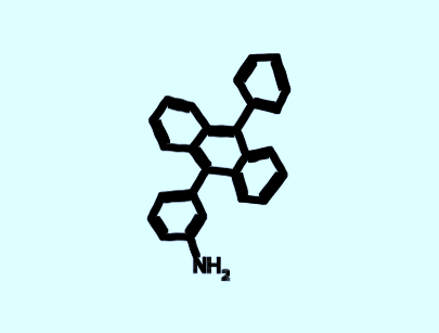 Nc1cccc(-c2c3ccccc3c(-c3ccccc3)c3ccccc23)c1